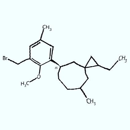 CCC1CC12CC(C)CC[C@@H](c1cc(C)cc(CBr)c1OC)C2